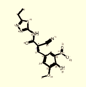 CCc1nnc(NC(=O)/C(C#N)=C/c2cc(OC)c(O)c([N+](=O)[O-])c2)s1